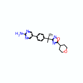 CC(C)C(C)(c1ccc(-c2cnc(N)nc2)cc1)c1noc(C2CCOCC2)n1